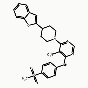 CS(=O)(=O)c1ccc(Nc2ncnc(N3CCC(c4cc5ccccc5o4)CC3)c2[N+](=O)[O-])cc1